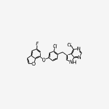 Fc1cc(Oc2ccc(Cc3c[nH]c4ncnc(Cl)c34)c(Cl)c2)c2occc2c1